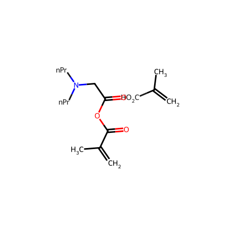 C=C(C)C(=O)O.C=C(C)C(=O)OC(=O)CN(CCC)CCC